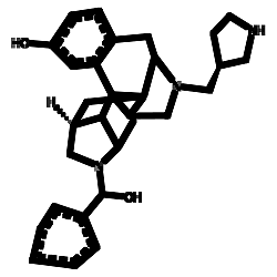 Oc1ccc2c(c1)C13CCN(C[C@H]4CCNC4)C(C2)C12CCC1C3[C@@H](CN1C(O)c1ccccc1)C2